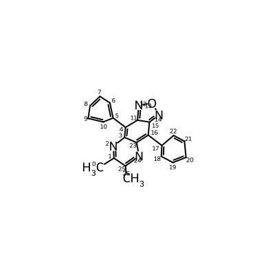 Cc1nc2c(-c3ccccc3)c3nonc3c(-c3ccccc3)c2nc1C